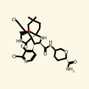 CC1(C)CCC2(CC1)N[C@@H](C(=O)NC1CC[C@@H](C(N)=O)OC1)[C@H](c1ccnc(Cl)c1F)[C@]21C(=O)Nc2cc(Cl)ccc21